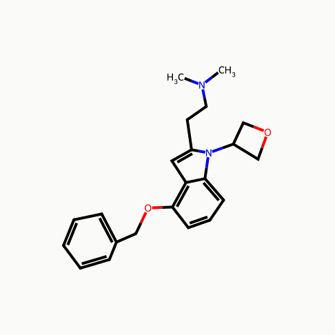 CN(C)CCc1cc2c(OCc3ccccc3)cccc2n1C1COC1